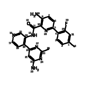 Cc1ccc(-c2ccc(N)c(C(=O)Nc3cnccc3-c3cc(N)nc(C)n3)n2)c(F)c1